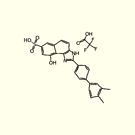 Cc1ccc(-c2ccc(-c3nc4c(ccc5cc(S(=O)(=O)O)cc(O)c54)[nH]3)cc2)cc1C.O=C(O)C(F)(F)F